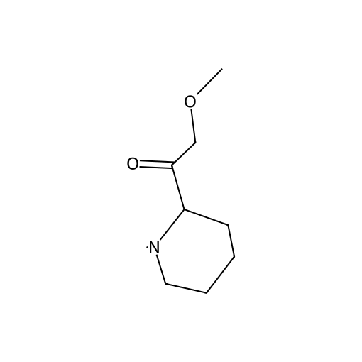 COCC(=O)C1CCCC[N]1